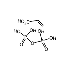 C=CC(=O)O.O=P(O)(O)OP(=O)(O)O